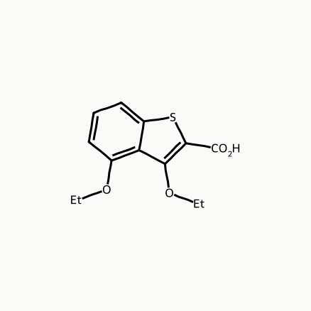 CCOc1cccc2sc(C(=O)O)c(OCC)c12